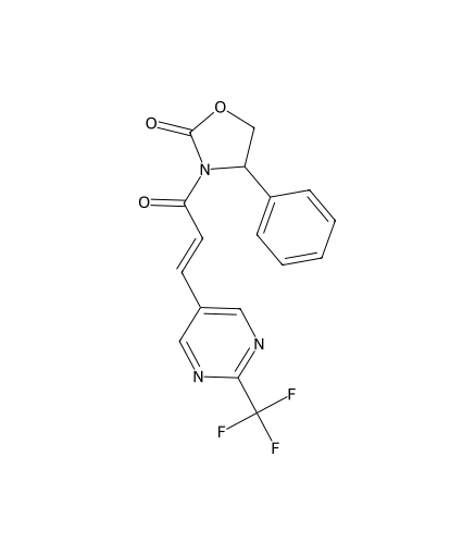 O=C(C=Cc1cnc(C(F)(F)F)nc1)N1C(=O)OCC1c1ccccc1